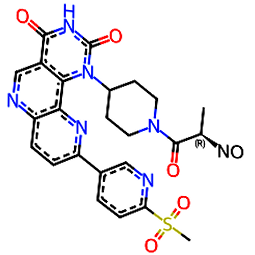 C[C@@H](N=O)C(=O)N1CCC(n2c(=O)[nH]c(=O)c3cnc4ccc(-c5ccc(S(C)(=O)=O)nc5)nc4c32)CC1